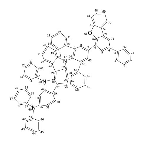 c1ccc(-c2cc(-c3cc(-c4ccccc4)c(-n4c5ccccc5c5c4ccc4c6ccc7c(c8ccccc8n7-c7ccccc7)c6n(-c6ccccc6)c45)c(-c4ccccc4)c3)c3oc4ccccc4c3c2)cc1